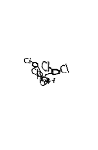 Clc1ccc(COC2=C(Cc3ccc(Cl)cc3Cl)C[C@H]3CO[C@@H]2O3)c(Cl)c1